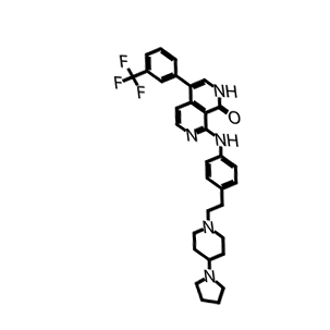 O=c1[nH]cc(-c2cccc(C(F)(F)F)c2)c2ccnc(Nc3ccc(CCN4CCC(N5CCCC5)CC4)cc3)c12